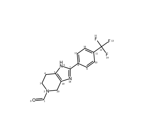 O=CN1CCc2[nH]c(-c3ccc(C(F)(F)F)cc3)nc2C1